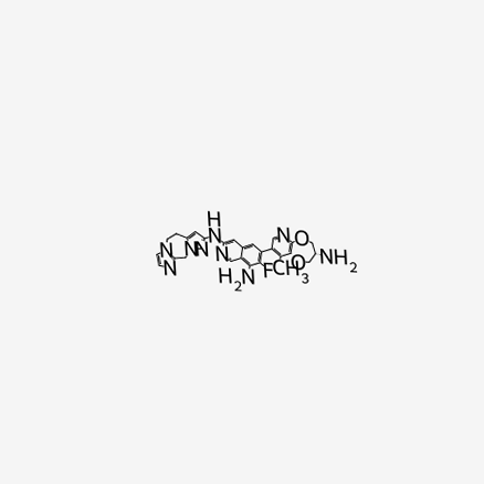 Cc1c(-c2cc3cc(Nc4cc5n(n4)Cc4nccn4CC5)ncc3c(N)c2F)cnc2c1OC[C@@H](N)CO2